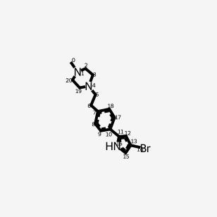 CN1CCN(CCc2ccc(-c3cc(Br)c[nH]3)cc2)CC1